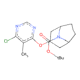 Cc1c(Cl)ncnc1OC1CC2CCC(C1)N2C(=O)OC(C)(C)C